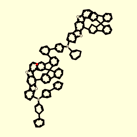 C1=CCC=C(N(c2ccc(-c3ccccc3-c3cccc4c3-c3ccccc3C43c4ccccc4-c4ccc(-c5c6oc7c(N(C8=CCC(c9ccccc9)C=C8)c8ccc(-c9ccccc9)cc8)cccc7c6cc6oc7ccccc7c56)cc43)cc2)c2ccc3c(c2)oc2c(C4=CC=C5c6ccccc6C6(c7ccccc7-c7ccccc76)C5C4)c4c(cc23)oc2ccccc24)C=C1